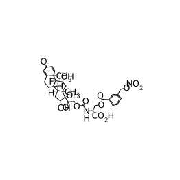 C[C@]12C=CC(=O)C=C1CC[C@H]1[C@@H]3C[C@@H](O)[C@](O)(C(=O)COC(=O)NC(COC(=O)c4cccc(CO[N+](=O)[O-])c4)C(=O)O)[C@@]3(C)C[C@H](O)[C@@]12F